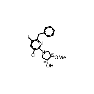 CO[C@@H]1CN(c2nc(Cc3ccccc3)c(I)cc2Cl)C[C@H]1O